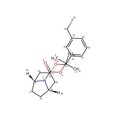 CC(C)(C)OC(=O)N1[C@@H]2CC[C@H]1C[C@@H](OCc1cccc(CF)c1)C2